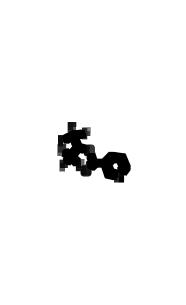 O=C(OC(C(F)(F)F)C(F)(F)F)c1cccnc1